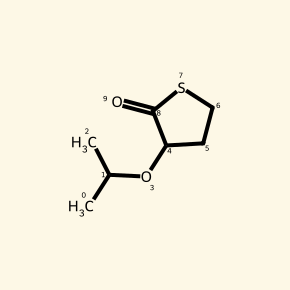 CC(C)OC1CCSC1=O